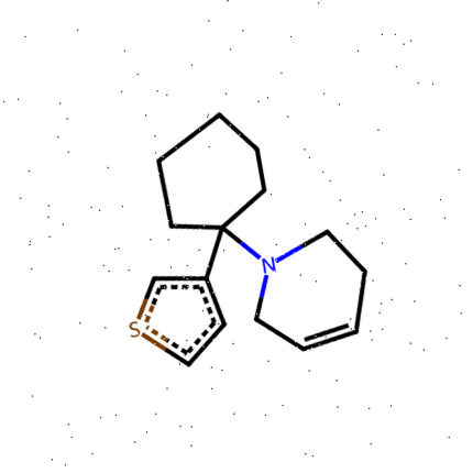 C1=CCN(C2(c3ccsc3)CCCCC2)CC1